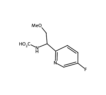 COCC(NC(=O)O)c1ccc(F)cn1